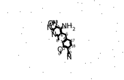 COc1cc(Cc2c(C)nc3nonc3c2N)ccc1C#N